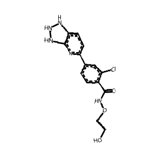 O=C(NOCCO)c1ccc(-c2ccc3c(n2)NNN3)cc1Cl